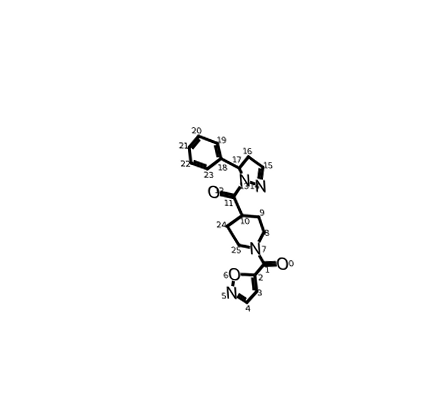 O=C(c1ccno1)N1CCC(C(=O)N2N=CCC2c2ccccc2)CC1